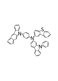 c1ccc(-n2c3ccccc3c3ccc(N(c4ccc(-n5c6ccccc6c6cc7ccccc7cc65)cc4)c4ccc5sc6ccccc6c5c4)cc32)cc1